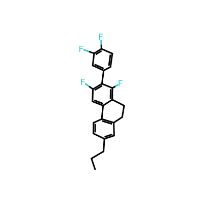 CCCc1ccc2c(c1)CCc1c-2cc(F)c(-c2ccc(F)c(F)c2)c1F